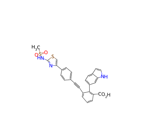 CS(=O)(=O)Nc1nc(-c2ccc(C#Cc3cccc(C(=O)O)c3-c3ccc4cc[nH]c4c3)cc2)cs1